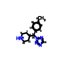 Cc1ccc([C@H](C2CCNCC2)n2ncnn2)cc1